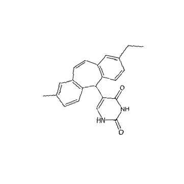 CCc1ccc2c(c1)C=Cc1cc(C)ccc1C2c1c[nH]c(=O)[nH]c1=O